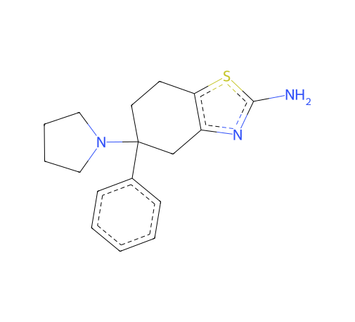 Nc1nc2c(s1)CCC(c1ccccc1)(N1CCCC1)C2